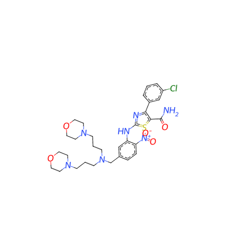 NC(=O)c1sc(Nc2cc(CN(CCCN3CCOCC3)CCCN3CCOCC3)ccc2[N+](=O)[O-])nc1-c1cccc(Cl)c1